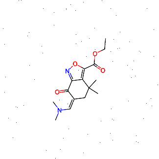 CCOC(=O)c1onc2c1C(C)(C)CC(=CN(C)C)C2=O